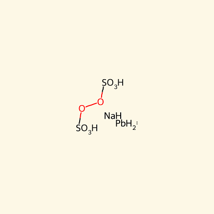 O=S(=O)(O)OOS(=O)(=O)O.[NaH].[PbH2]